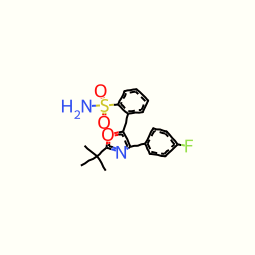 CC(C)(C)c1nc(-c2ccc(F)cc2)c(-c2ccccc2S(N)(=O)=O)o1